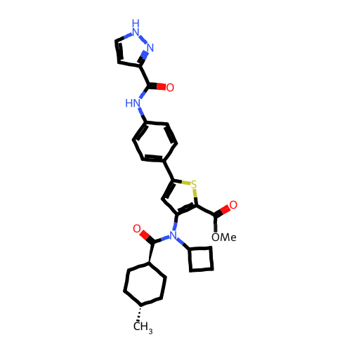 COC(=O)c1sc(-c2ccc(NC(=O)c3cc[nH]n3)cc2)cc1N(C(=O)[C@H]1CC[C@H](C)CC1)C1CCC1